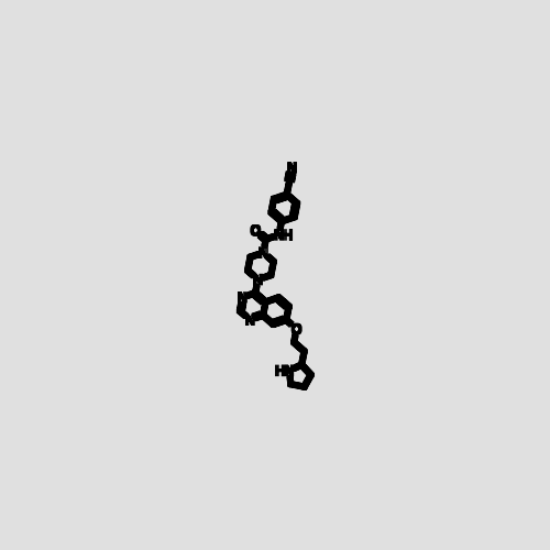 N#Cc1ccc(NC(=O)N2CCN(c3ncnc4cc(OCCC5CCCN5)ccc34)CC2)cc1